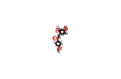 CCOc1ccc(C(=O)C=Cc2cc(C)c(OC)cc2OC)cc1